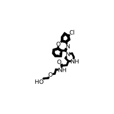 O=C(CC1CN(C2=Nc3cc(Cl)ccc3Oc3ccccc32)CCN1)NCCOCCO